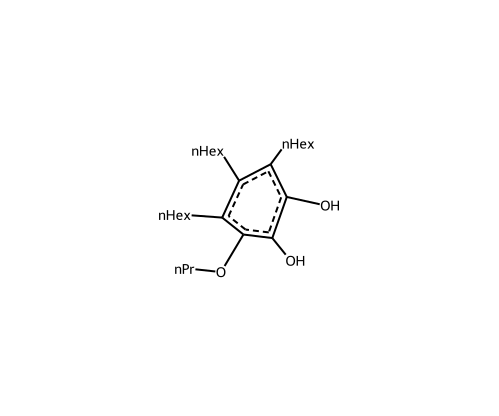 CCCCCCc1c(O)c(O)c(OCCC)c(CCCCCC)c1CCCCCC